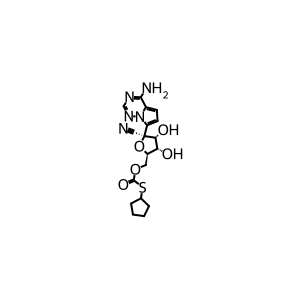 N#C[C@@]1(c2ccc3c(N)ncnn23)O[C@H](COC(=O)SC2CCCC2)[C@@H](O)[C@H]1O